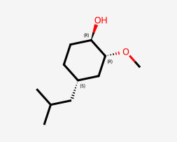 CO[C@@H]1C[C@H](CC(C)C)CC[C@H]1O